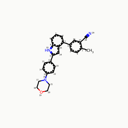 Cc1ccc(-c2cccc3[nH]c(-c4ccc(N5CCOCC5)cc4)cc23)cc1C#N